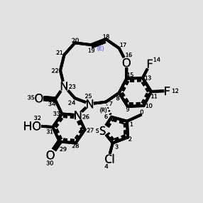 Cc1cc(Cl)sc1[C@H]1c2ccc(F)c(F)c2OC/C=C/CCCN2CN1n1ccc(=O)c(O)c1C2=O